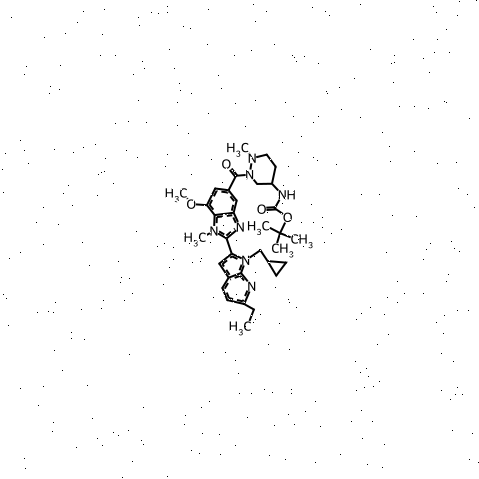 CCc1ccc2cc(-c3nc4cc(C(=O)N5CC(NC(=O)OC(C)(C)C)CCN5C)cc(OC)c4n3C)n(CC3CC3)c2n1